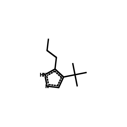 CCCc1[nH]ncc1C(C)(C)C